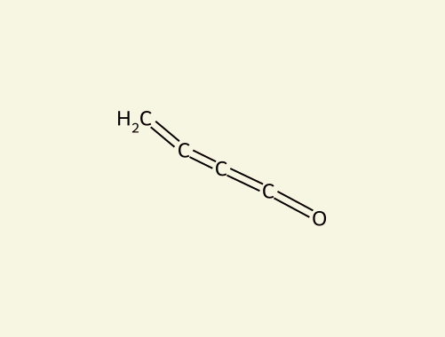 C=C=C=C=O